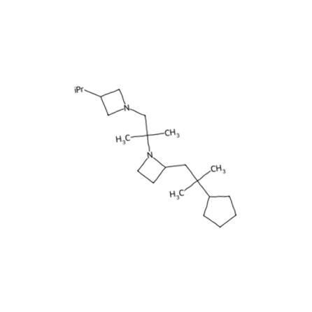 CC(C)C1CN(CC(C)(C)N2CCC2CC(C)(C)C2CCCC2)C1